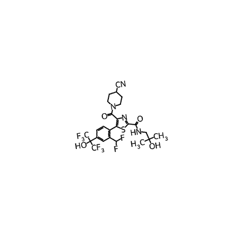 CC(C)(O)CNC(=O)c1nc(C(=O)N2CCC(C#N)CC2)c(-c2ccc(C(O)(C(F)(F)F)C(F)(F)F)cc2C(F)F)s1